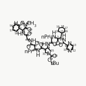 CCC[C@H](NC(=O)[C@@H](NC(=O)c1cnccn1)C1CCCCC1)C(=O)NC1CN(C(=O)OC(C)(C)C)CC1C(=O)N[C@@H](CCC)C(=O)C(=O)NCC(=O)N[C@H](C(=O)N(C)C)c1ccccc1